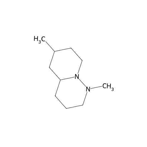 CC1CCN2C(CCCN2C)C1